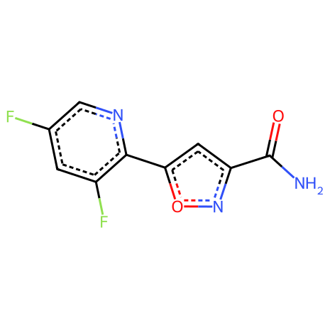 NC(=O)c1cc(-c2ncc(F)cc2F)on1